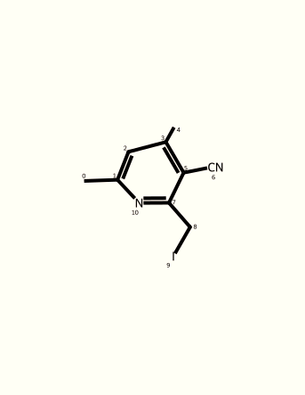 Cc1cc(C)c(C#N)c(CI)n1